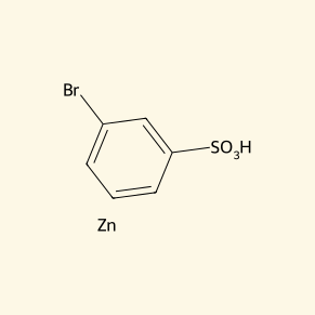 O=S(=O)(O)c1cccc(Br)c1.[Zn]